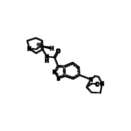 O=C(N[C@@H]1CN2CCC1CC2)c1nsc2cc(N3CCN4CCC3CC4)ccc12